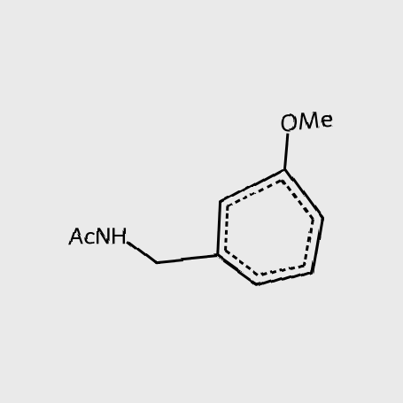 COc1cccc(CNC(C)=O)c1